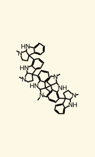 CN1CCC2(c3cccc4c3NC3N(C)CCC43c3cccc4c3NC3N(C)CCC43C34CCN(C)C3Nc3c(C56CCN(C)C5Nc5ccccc56)cccc34)c3ccccc3NC12